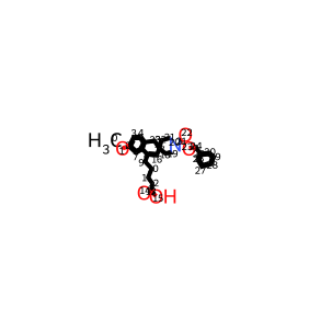 COc1ccc2c(c1)C(CCCCC(=O)O)=CC1(CCN(C(=O)OCc3ccccc3)CC1)C2